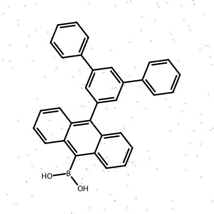 OB(O)c1c2ccccc2c(-c2cc(-c3ccccc3)cc(-c3ccccc3)c2)c2ccccc12